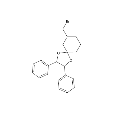 BrCC1CCCC2(C1)OC(c1ccccc1)C(c1ccccc1)O2